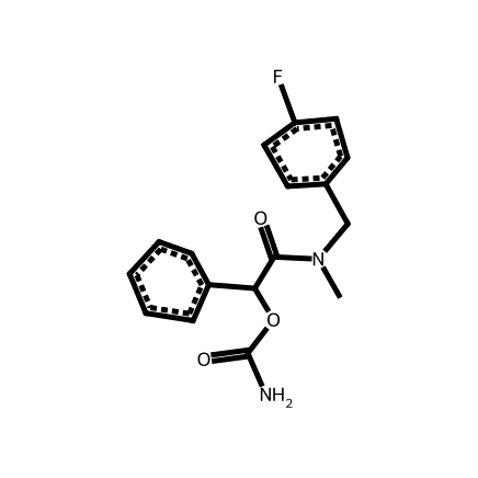 CN(Cc1ccc(F)cc1)C(=O)C(OC(N)=O)c1ccccc1